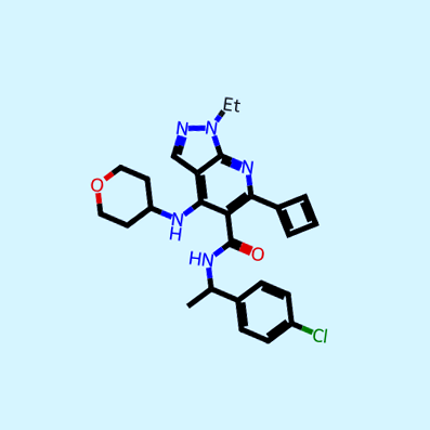 CCn1ncc2c(NC3CCOCC3)c(C(=O)NC(C)c3ccc(Cl)cc3)c(C3=CC=C3)nc21